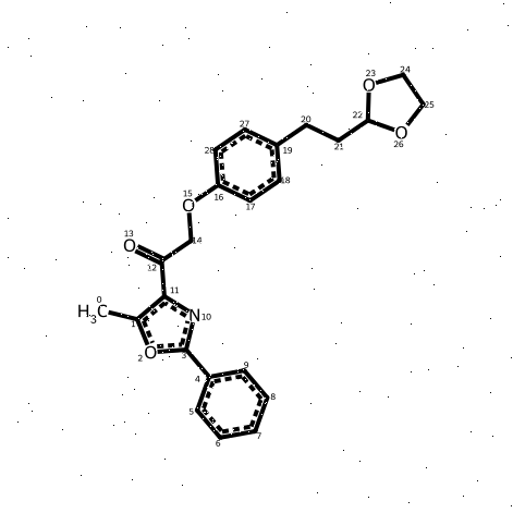 Cc1oc(-c2ccccc2)nc1C(=O)COc1ccc(CCC2OCCO2)cc1